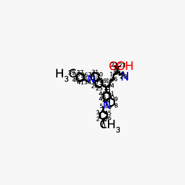 Cc1ccc(CN2CCCc3cc(C(=C/C=C/C=C(\C#N)C(=O)O)c4ccc5c(c4)CCCN5Cc4ccc(C)cc4)ccc32)cc1